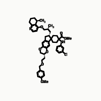 COC(=O)C1(Nc2cccc(Cl)c2)CCC2(CC1)c1cc3c(cc1C[C@@H]2C[C@@H](C)COc1ccnc2c1[C@H](C)CCC2)OC[C@@H](CCOCc1ccc(OC)cc1)O3